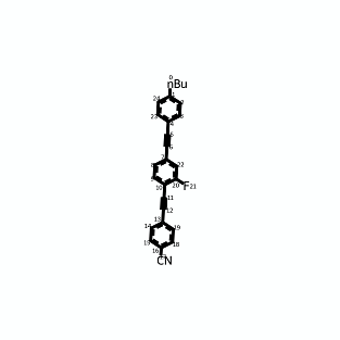 CCCCc1ccc(C#Cc2ccc(C#Cc3ccc(C#N)cc3)c(F)c2)cc1